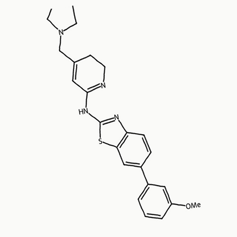 COc1cccc(-c2ccc3nc(NC4=NCCC(CN5CCCC5)=C4)sc3c2)c1